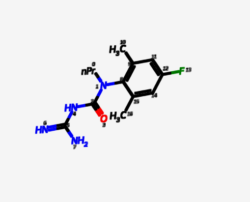 CCCN(C(=O)NC(=N)N)c1c(C)cc(F)cc1C